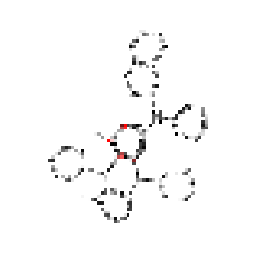 Cc1cccc2c1C1(c3ccccc3)c3c(C)cccc3C2(c2ccccc2)c2cc(N(c3ccccc3)c3ccc4ccccc4c3)cc(C)c21